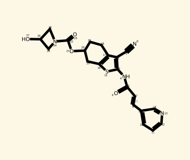 N#Cc1c(NC(=O)/C=C/c2cccnc2)sc2c1CCC(OC(=O)N1CC(O)C1)C2